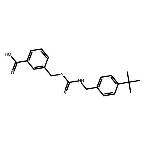 CC(C)(C)c1ccc(CNC(=S)NCc2cccc(C(=O)O)c2)cc1